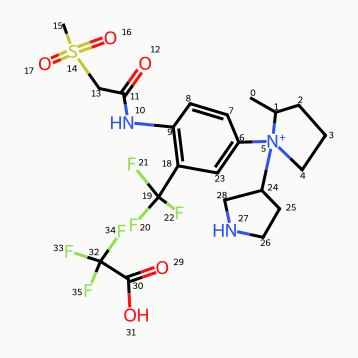 CC1CCC[N+]1(c1ccc(NC(=O)CS(C)(=O)=O)c(C(F)(F)F)c1)C1CCNC1.O=C(O)C(F)(F)F